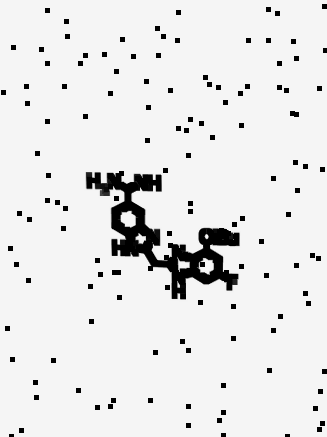 CC(C)COc1cc(F)cc2[nH]c(Cc3nc4cc(C(=N)N)ccc4[nH]3)nc12